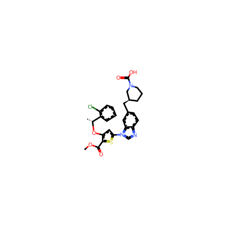 COC(=O)c1sc(-n2cnc3ccc(C[C@@H]4CCCN(C(=O)O)C4)cc32)cc1O[C@H](C)c1ccccc1Cl